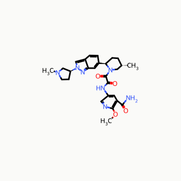 COc1ncc(NC(=O)C(=O)N2C[C@@H](C)CC[C@@H]2c2ccc3cn([C@H]4CCN(C)C4)nc3c2)cc1C(N)=O